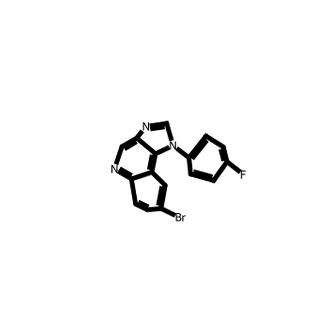 Fc1ccc(-n2cnc3cnc4ccc(Br)cc4c32)cc1